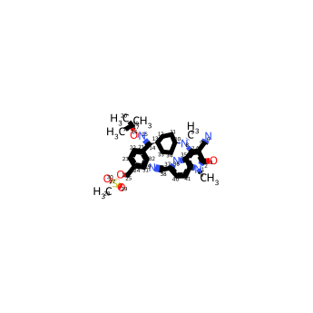 Cn1c(=O)c(C#N)c(N(C)[C@H]2CC[C@@H](/C(=N/OC(C)(C)C)c3ccc(COS(C)(=O)=O)cc3)CC2)c2nc(C#N)ccc21